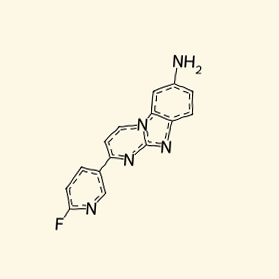 Nc1ccc2nc3nc(-c4ccc(F)nc4)ccn3c2c1